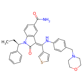 CC[C@H](c1ccccc1)N1C(=O)C(=C(Nc2ccc(CN3CCOCC3)cc2)c2ccsc2)c2cc(C(N)=O)ccc21